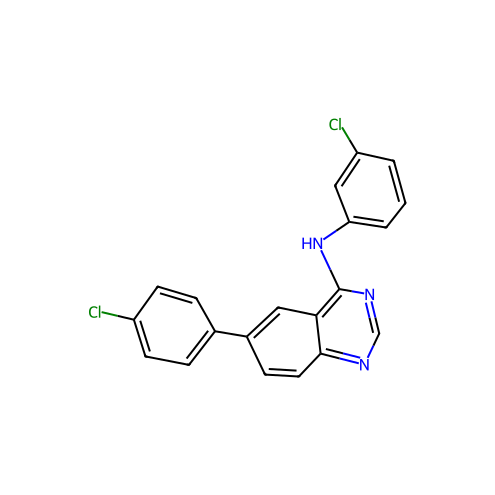 Clc1ccc(-c2ccc3ncnc(Nc4cccc(Cl)c4)c3c2)cc1